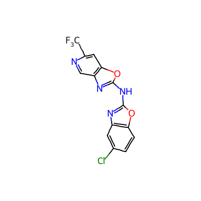 FC(F)(F)c1cc2oc(Nc3nc4cc(Cl)ccc4o3)nc2cn1